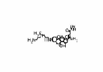 CC(C)NC(=O)CC[C@@H](C)[C@H]1CCC2C3C(CC[C@@]21C)[C@@]1(C)CC[C@H](NCCCN(C)CCCN)CC1C[C@@H]3O